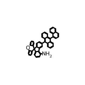 Nc1cccc2c1-c1cc(-c3c4ccccc4c(-c4cccc5ccccc45)c4ccccc34)ccc1C21c2ccccc2Oc2ccccc21